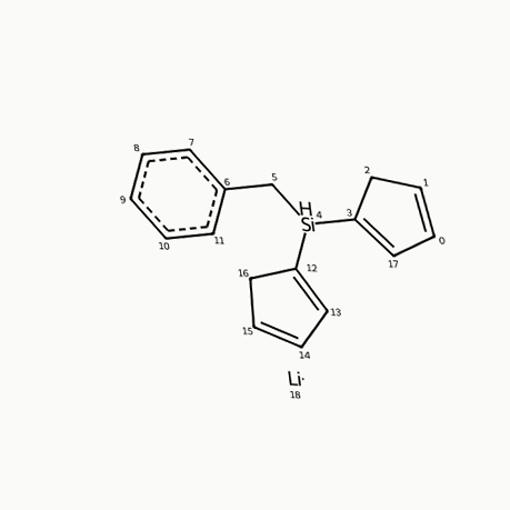 C1=CCC([SiH](Cc2ccccc2)C2=CC=CC2)=C1.[Li]